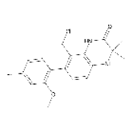 COc1cc(F)ccc1-c1ccc2c(c1CCl)NC(=O)C(C)(C)N2